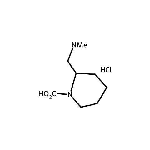 CNCC1CCCCN1C(=O)O.Cl